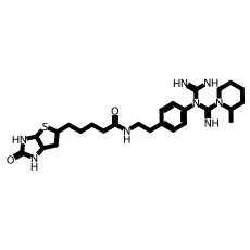 CC1CCCCN1C(=N)N(C(=N)N)c1ccc(CCNC(=O)CCCCC2CC3NC(=O)NC3S2)cc1